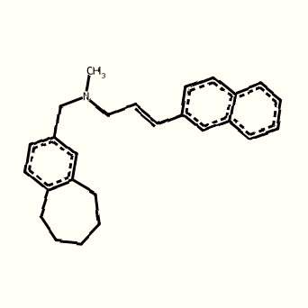 CN(C/C=C/c1ccc2ccccc2c1)Cc1ccc2c(c1)CCCCC2